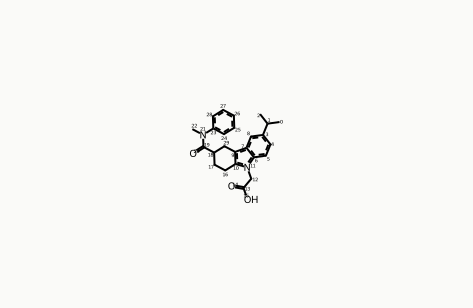 CC(C)c1ccc2c(c1)c1c(n2CC(=O)O)CCC(C(=O)N(C)c2ccccc2)C1